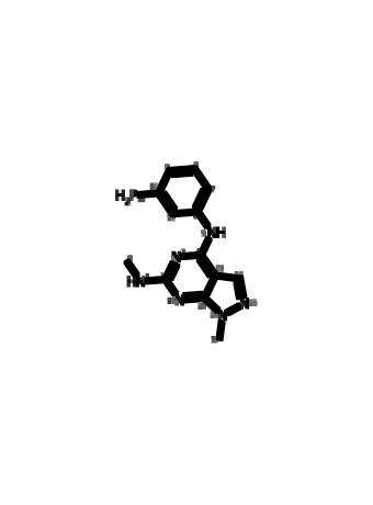 CNc1nc(Nc2cccc(P)c2)c2cnn(C)c2n1